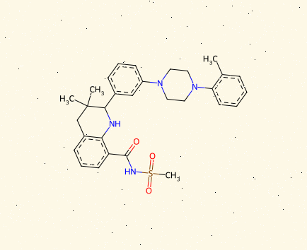 Cc1ccccc1N1CCN(c2cccc(C3Nc4c(cccc4C(=O)NS(C)(=O)=O)CC3(C)C)c2)CC1